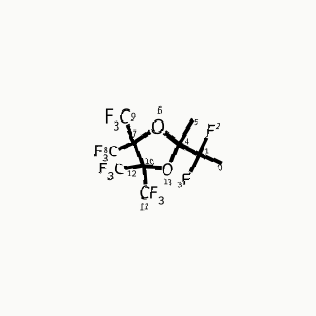 CC(F)(F)C1(C)OC(C(F)(F)F)(C(F)(F)F)C(C(F)(F)F)(C(F)(F)F)O1